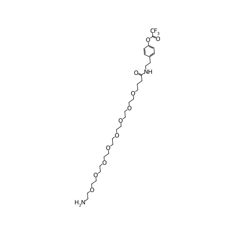 NCCOCCOCCOCCOCCOCCOCCOCCOCCCC(=O)NCCc1ccc(OC(=O)C(F)(F)F)cc1